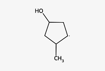 CC1[CH]CC(O)C1